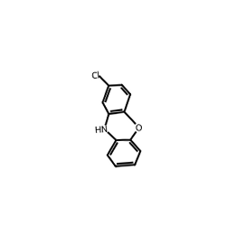 Clc1ccc2c(c1)Nc1ccccc1O2